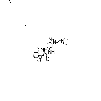 CCN(CC)CCn1cnc2ccc(Nc3c(N[C@H](C)c4cccc(OC)c4)c(=O)c3=O)cc21